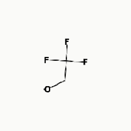 [O]CC(F)(F)F